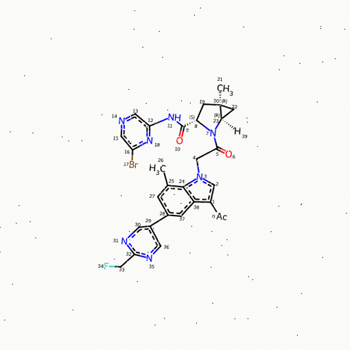 CC(=O)c1cn(CC(=O)N2[C@H](C(=O)Nc3cncc(Br)n3)C[C@@]3(C)C[C@@H]23)c2c(C)cc(-c3cnc(CF)nc3)cc12